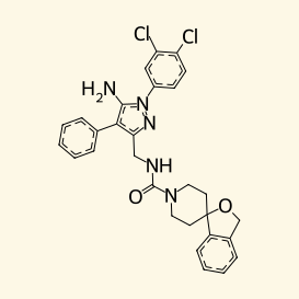 Nc1c(-c2ccccc2)c(CNC(=O)N2CCC3(CC2)OCc2ccccc23)nn1-c1ccc(Cl)c(Cl)c1